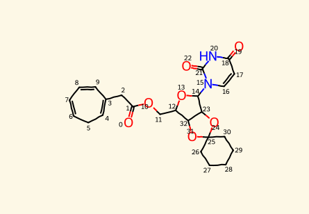 O=C(CC1=CCC=CC=C1)OCC1OC(n2ccc(=O)[nH]c2=O)C2OC3(CCCCC3)OC12